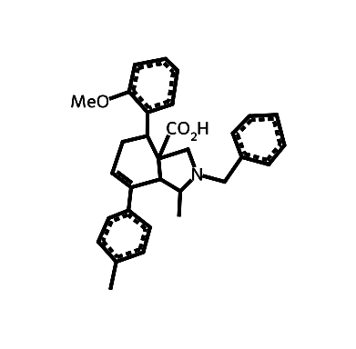 COc1ccccc1C1CC=C(c2ccc(C)cc2)C2C(C)N(Cc3ccccc3)CC12C(=O)O